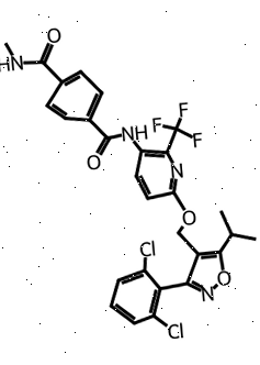 CNC(=O)c1ccc(C(=O)Nc2ccc(OCc3c(-c4c(Cl)cccc4Cl)noc3C(C)C)nc2C(F)(F)F)cc1